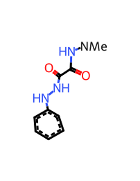 CNNC(=O)C(=O)NNc1ccccc1